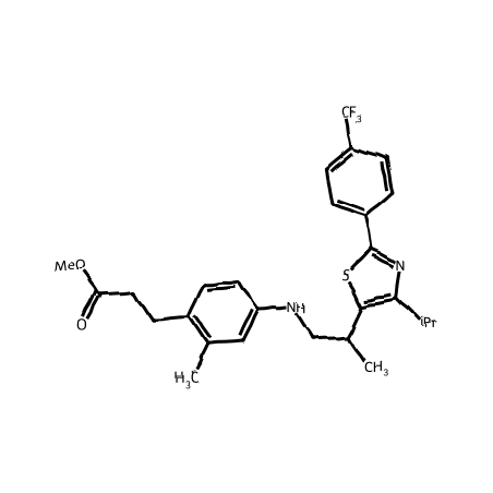 COC(=O)CCc1ccc(NCC(C)c2sc(-c3ccc(C(F)(F)F)cc3)nc2C(C)C)cc1C